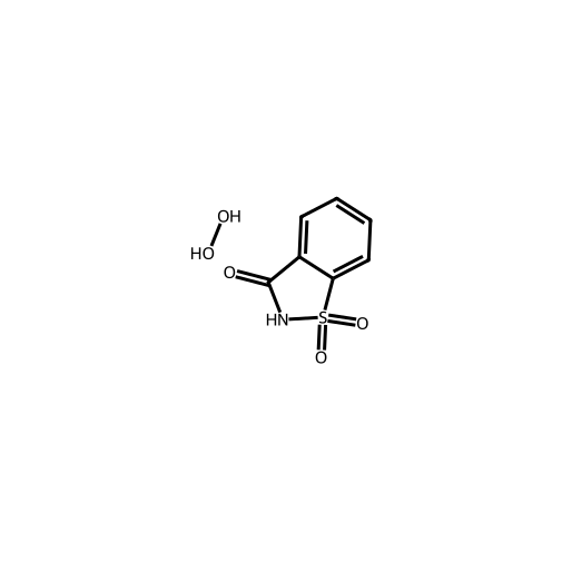 O=C1NS(=O)(=O)c2ccccc21.OO